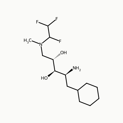 CN(C[C@H](O)[C@H](O)[C@@H](N)CC1CCCCC1)C(F)C(F)F